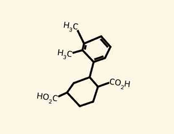 Cc1cccc(C2CC(C(=O)O)CCC2C(=O)O)c1C